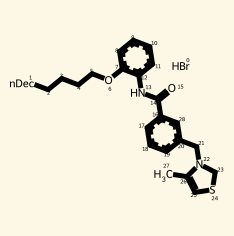 Br.CCCCCCCCCCCCCCOc1ccccc1NC(=O)c1cccc(CN2CSC=C2C)c1